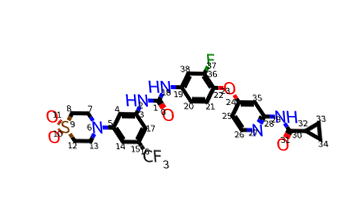 O=C(Nc1cc(N2CCS(=O)(=O)CC2)cc(C(F)(F)F)c1)Nc1ccc(Oc2ccnc(NC(=O)C3CC3)c2)c(F)c1